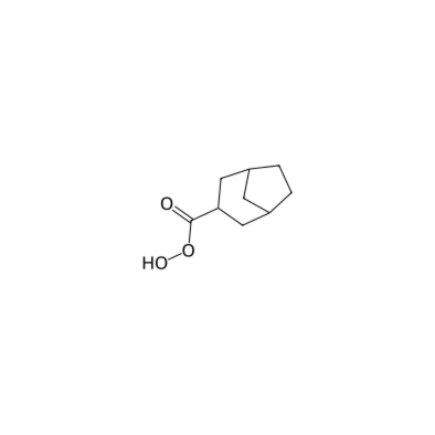 O=C(OO)C1CC2CCC(C2)C1